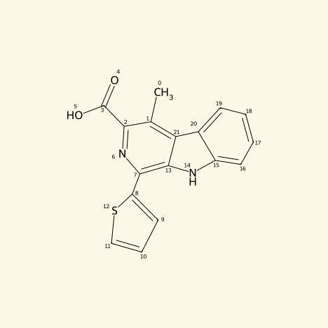 Cc1c(C(=O)O)nc(-c2cccs2)c2[nH]c3ccccc3c12